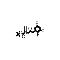 CC(C)(C)OC(=O)NCC(=O)Cc1cc(F)cc(F)c1F